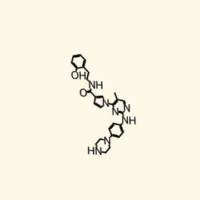 Cc1cnc(Nc2ccc(N3CCNCC3)cc2)nc1-n1ccc(C(=O)NCCc2ccccc2O)c1